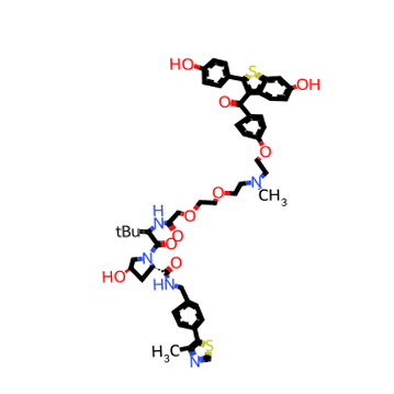 Cc1ncsc1-c1ccc(CNC(=O)[C@@H]2C[C@@H](O)CN2C(=O)C(NC(=O)COCCOCCN(C)CCOc2ccc(C(=O)c3c(-c4ccc(O)cc4)sc4cc(O)ccc34)cc2)C(C)(C)C)cc1